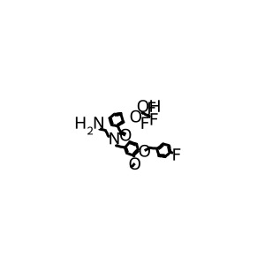 COc1cc(CN(CCCN)C(=O)c2ccccc2)ccc1OCc1ccc(F)cc1.O=C(O)C(F)(F)F